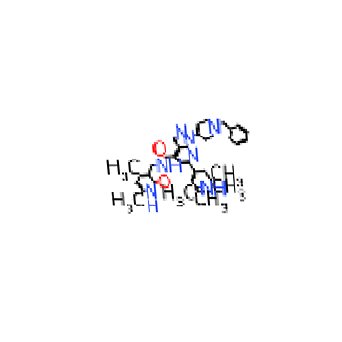 Cc1cc(C)c(CNC(=O)c2cc(C3=CC(C)(C)NC(C)(C)C3)nc3c2cnn3C2CCN(Cc3ccccc3)CC2)c(=O)[nH]1